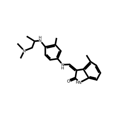 Cc1cc(NC=C2C(=O)Nc3cccc(C)c32)ccc1NC(C)CN(C)C